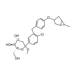 COC1(c2ccc(Cl)c(Cc3ccc(OC4CC5C(C)C5C4)cc3)c2)C[C@@H](O)[C@H](O)[C@@H](CO)O1